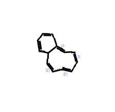 C1=C\C2=C/C=C\C=C\C=C/C2C=C1